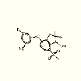 CC1(F)Cc2c(Oc3cc(F)cc(C#N)c3)ccc(S(C)(=O)=O)c2C1O